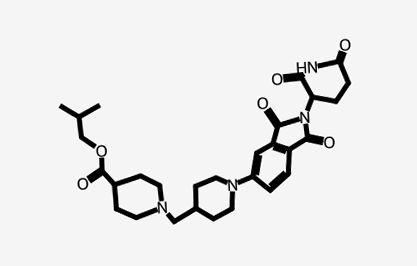 CC(C)COC(=O)C1CCN(CC2CCN(c3ccc4c(c3)C(=O)N(C3CCC(=O)NC3=O)C4=O)CC2)CC1